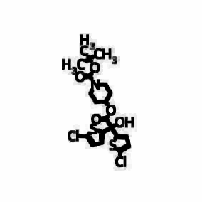 CC(C)(C)OC(=O)N1CCC(OC(=O)C(O)(c2ccc(Cl)s2)c2ccc(Cl)s2)CC1